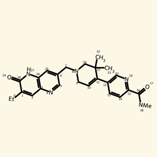 CCc1cc2ncc(CN3CC=C(c4ccc(C(=O)NC)nc4)C(C)(C)C3)cc2[nH]c1=O